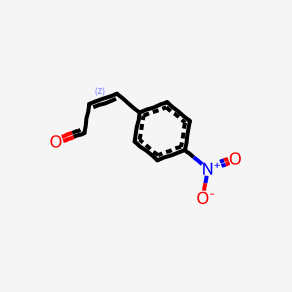 O=C/C=C\c1ccc([N+](=O)[O-])cc1